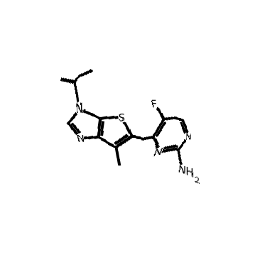 Cc1c(-c2nc(N)ncc2F)sc2c1ncn2C(C)C